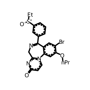 CCCOc1cc2c(cc1Br)C(c1cccc([S+]([O-])CC)c1)=NCc1nc(=O)ccn1-2